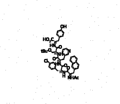 CC(=O)N[C@H](Cc1ccc2ccccc2c1)C(=O)N[C@H](Cc1ccc(Cl)cc1)C(=O)N[C@H](Cc1cccnc1)C(=O)N[C@@H](COC(C)(C)C)C(=O)N[C@@H](Cc1ccc(O)cc1)C(=O)O